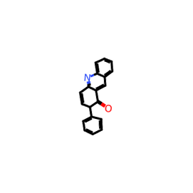 O=C1c2cc3ccccc3nc2C=CC1c1ccccc1